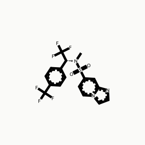 CN([C@H](c1ccc(C(F)(F)F)cc1)C(F)(F)F)S(=O)(=O)c1ccn2ccnc2c1